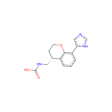 O=C(O)NC[C@@H]1CCOc2c(-c3cnc[nH]3)cccc21